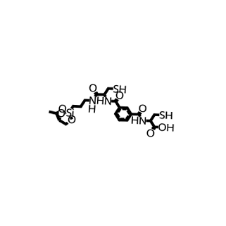 CC1O[Si]2(CCCNC(=O)C(CS)NC(=O)c3cccc(C(=O)NC(CS)C(=O)O)c3)OCC1O2